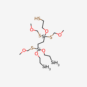 COCS[Si](CC[Si](OCCS)(SCOC)SCOC)(OCC[SiH3])OCC[SiH3]